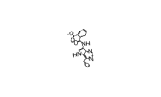 COC(=O)c1ccccc1C(=O)Nc1c[nH]c2c(C=O)ncnc12